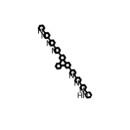 C1=CNC(c2ccc(-c3ccc(-c4ccc(-c5ccc6c7ccc(-c8ccc(-c9ccc(-c%10ccc(-c%11ccccn%11)nc%10)nc9)nc8)cc7c7ccccc7c6c5)cn4)cn3)cn2)C=C1